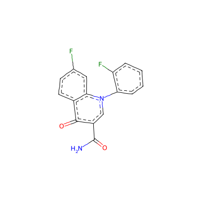 NC(=O)c1cn(-c2ccccc2F)c2cc(F)ccc2c1=O